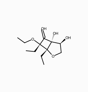 CCO[C@](CC)(CO)[C@@]1(CC)OC[C@H](O)[C@]1(O)CC